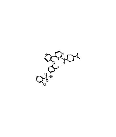 CN(C)C1CCC(Nc2nccc(-c3cnccc3Oc3ccc(NS(=O)(=O)c4ccccc4Cl)cc3F)n2)CC1